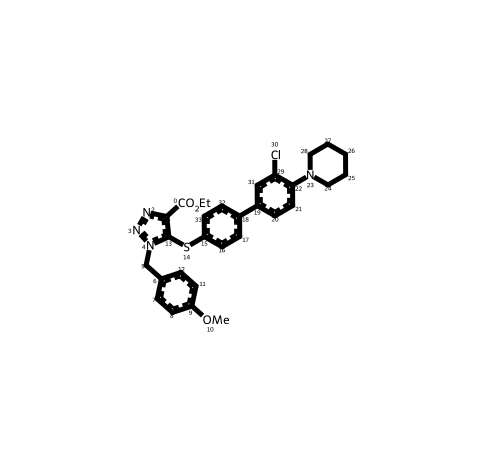 CCOC(=O)c1nnn(Cc2ccc(OC)cc2)c1Sc1ccc(-c2ccc(N3CCCCC3)c(Cl)c2)cc1